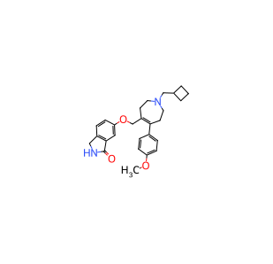 COc1ccc(C2=C(COc3ccc4c(c3)C(=O)NC4)CCN(CC3CCC3)CC2)cc1